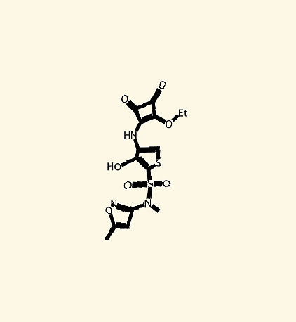 CCOc1c(Nc2csc(S(=O)(=O)N(C)c3cc(C)on3)c2O)c(=O)c1=O